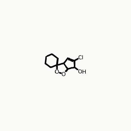 OC1C(Cl)=CC2C1OOC21CCCCC1